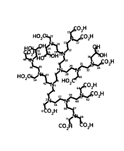 O=C(O)CN(CCN(CCN(CCN(CCN(CC(=O)O)CC(=O)O)CCN(CC(=O)O)CC(O)O)CCN(CCN(CC(=O)O)CC(O)O)CC(=O)O)CCN(CCN(CC(=O)O)CC(O)O)CC(=O)O)CCN(CCN(CC(=O)O)CC(=O)O)CCN(CC(=O)O)CC(=O)O